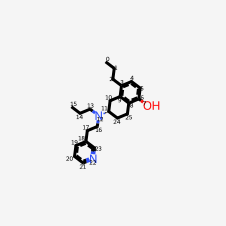 CCCc1ccc(O)c2c1C[C@@H](N(CCC)CCc1cccnc1)CC2